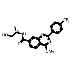 COc1nc(-c2ccc(C(F)(F)F)cc2)nc2cc(C(=O)N[C@H](C)CO)ccc12